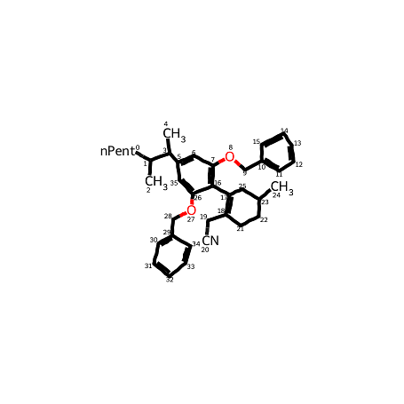 CCCCCC(C)C(C)c1cc(OCc2ccccc2)c(C2=C(CC#N)CCC(C)C2)c(OCc2ccccc2)c1